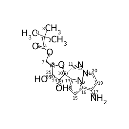 CC(C)(C)C(=O)OC[C@H]1O[C@@](C#N)(c2ccc3c(N)ccnn23)[C@H](O)[C@@H]1O